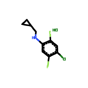 Cl.Fc1cc(NCC2CC2)c(F)cc1Cl